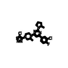 CC1CN(c2nnsc2Cl)CCN1c1cc(-c2ccc(F)c(Cl)c2)nc(N2CCCC2C)n1